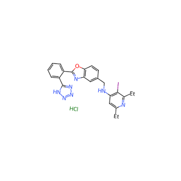 CCc1cc(NCc2ccc3oc(-c4ccccc4-c4nnn[nH]4)nc3c2)c(I)c(CC)n1.Cl